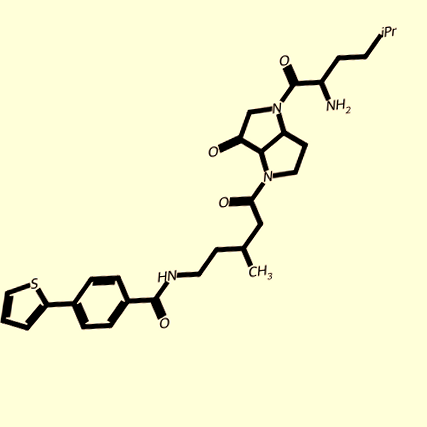 CC(C)CCC(N)C(=O)N1CC(=O)C2C1CCN2C(=O)CC(C)CCNC(=O)c1ccc(-c2cccs2)cc1